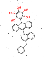 Oc1c(O)c(O)c(-c2c3ccccc3c(-c3ccc(Cc4ccccc4)c4ccccc34)c3ccccc23)c(O)c1O